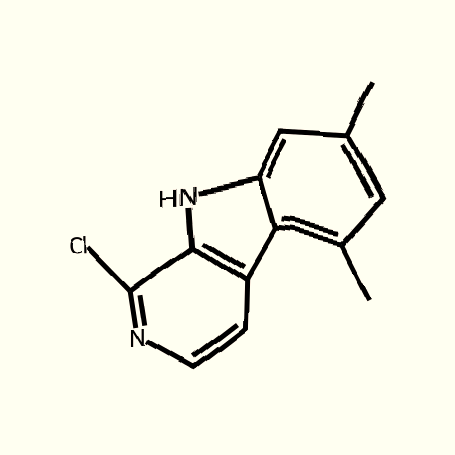 Cc1cc(C)c2c(c1)[nH]c1c(Cl)nccc12